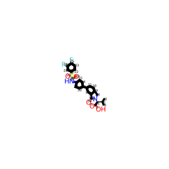 CC(C)[C@@H](C(=O)O)N1Cc2ccc(-c3ccc(NS(=O)(=O)c4ccc(F)c(F)c4)cc3)cc2C1=O